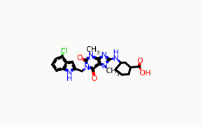 Cn1c(NC2CCCC(C(=O)O)C2)nc2c1c(=O)n(Cc1cc3c(Cl)cccc3[nH]1)c(=O)n2C